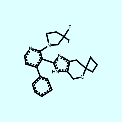 FC1(F)CCN(c2nccc(-c3ccccc3)c2-c2nc3c([nH]2)COC2(CCC2)C3)C1